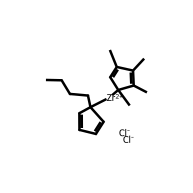 CCCC[C]1([Zr+2][C]2(C)C=C(C)C(C)=C2C)C=CC=C1.[Cl-].[Cl-]